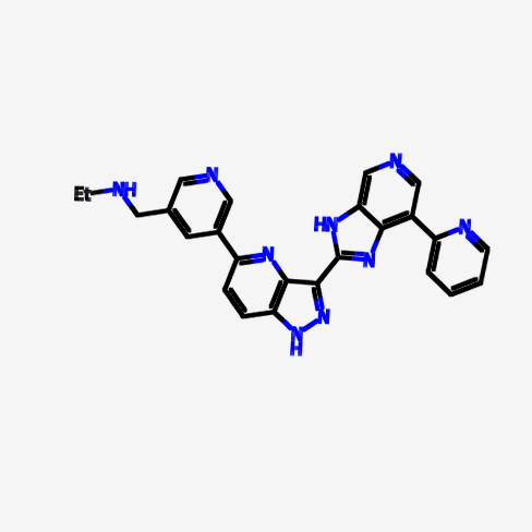 CCNCc1cncc(-c2ccc3[nH]nc(-c4nc5c(-c6ccccn6)cncc5[nH]4)c3n2)c1